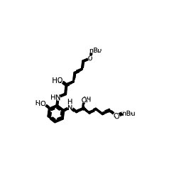 CCCCOCCCCC(O)CNc1cccc(O)c1NCC(O)CCCCOCCCC